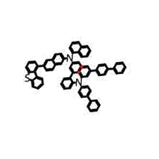 c1ccc(-c2ccc(-c3cccc(N(c4ccc(-c5ccccc5)cc4)c4ccccc4-c4cccc(N(c5ccc6cc(-c7cccc8sc9ccccc9c78)ccc6c5)c5cccc6ccccc56)c4)c3)cc2)cc1